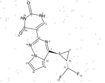 O=c1[nH]cc(-c2nc([C@H]3C[C@@H]3C(F)F)c3cccn3n2)c(=O)[nH]1